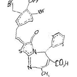 CC1=C(C(=O)O)C(c2cccs2)n2c(sc(=Cc3cc(Br)c(O)c(Br)c3)c2=O)=N1